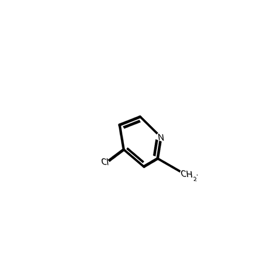 [CH2]c1cc(Cl)ccn1